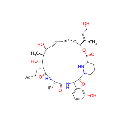 CC(=O)CC[C@H]1C(=O)N[C@@H](C(C)C)C(=O)NC(c2cccc(O)c2)C(=O)N2CCCC(N2)C(=O)O[C@H](/C(C)=C/CO)C/C=C/C=C/[C@H](O)[C@H](C)[C@H]1O